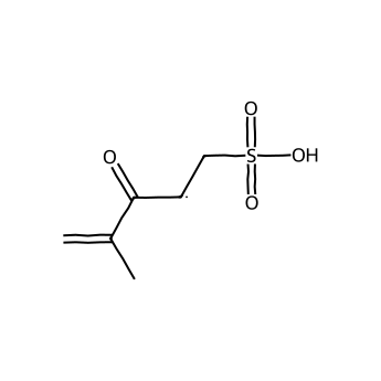 C=C(C)C(=O)[CH]CS(=O)(=O)O